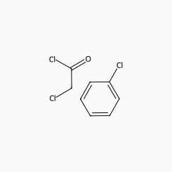 Clc1ccccc1.O=C(Cl)CCl